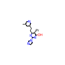 Cc1cncc(CCc2nc(-n3ccnc3)nc(O)c2C(C)C)c1